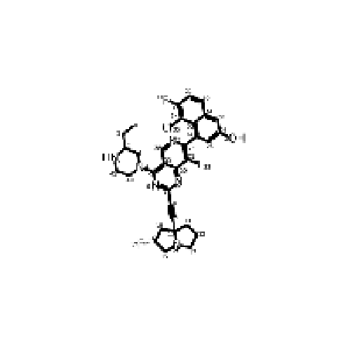 CC[C@H]1CN(c2nc(C#C[C@@]34CCCN3C[C@H](F)C4)nc3c(F)c(-c4cc(O)cc5ccc(F)c(Cl)c45)ncc23)CCN1